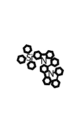 c1ccc(-c2ccccc2-n2c3ccccc3c3ccc(-n4c5ccccc5c5ccc([Si](c6ccccc6)(c6ccccc6)c6ccccc6)cc54)c(-c4ccccc4)c32)cc1